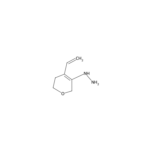 C=CC1=C(NN)COCC1